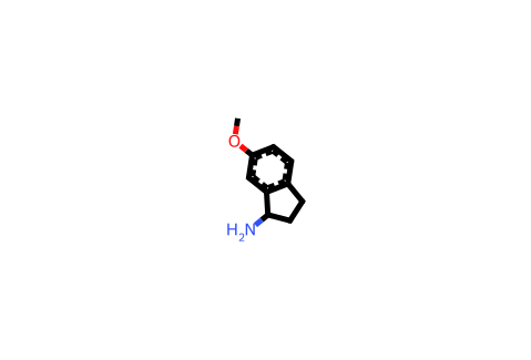 COc1ccc2c(c1)C(N)CC2